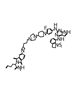 C=CCCC(C(=C)NC)n1c(=C)c2ccc(N3CC(CCCN4CCN(C5CCN(c6ccc(Nc7nc(Nc8cccc9c8N(SC)CC9)c8cc[nH]c8n7)cc6F)CC5)CC4)C3)cc2c1=C